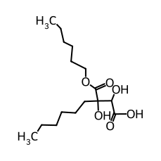 CCCCCCOC(=O)C(O)(CCCCCC)C(O)C(=O)O